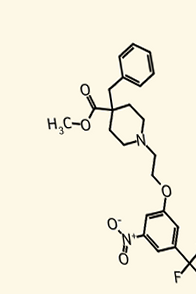 COC(=O)C1(Cc2ccccc2)CCN(CCOc2cc([N+](=O)[O-])cc(C(F)(F)F)c2)CC1